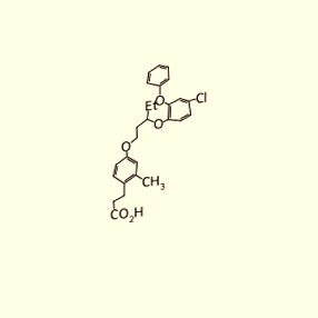 CCC(CCOc1ccc(CCC(=O)O)c(C)c1)Oc1ccc(Cl)cc1Oc1ccccc1